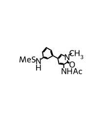 CSNc1cccc(-c2cc(NC(C)=O)c(=O)n(C)c2)c1